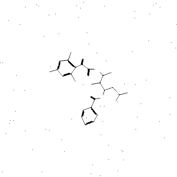 Cc1cc(C)c(C(=O)C(=O)OC(C)C(C)C(CC(C)C)OC(=O)c2ccccc2)c(C)c1